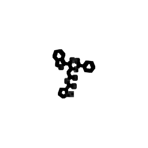 O=C(CC(SC(=O)c1ccccc1)C(=O)c1occ2ccccc12)OC(=O)[C@@H]1CCCN1